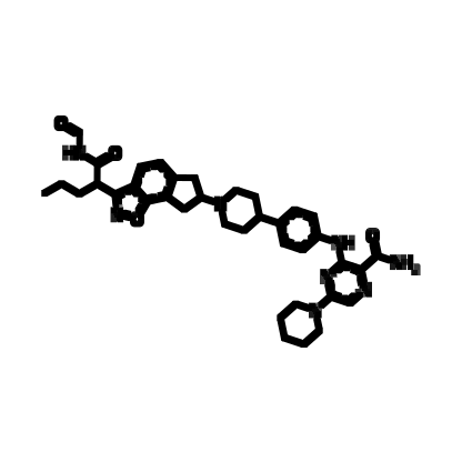 CCCC(C(=O)NC=O)c1noc2c3c(ccc12)CC(N1CCC(c2ccc(Nc4nc(N5CCCCC5)cnc4C(N)=O)cc2)CC1)C3